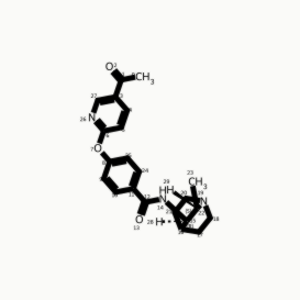 CC(=O)c1ccc(Oc2ccc(C(=O)N[C@@H]3C4CCN(CC4)[C@H]3C)cc2)nc1